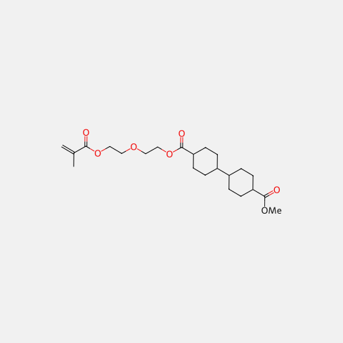 C=C(C)C(=O)OCCOCCOC(=O)C1CCC(C2CCC(C(=O)OC)CC2)CC1